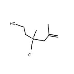 C=C(C)C[N+](C)(C)CCO.[Cl-]